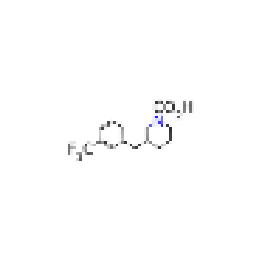 O=C(O)N1CCCC(Cc2cccc(C(F)(F)F)c2)C1